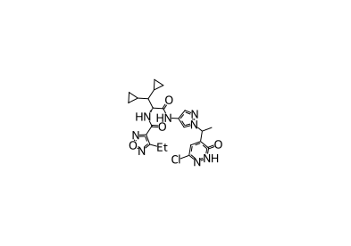 CCc1nonc1C(=O)N[C@H](C(=O)Nc1cnn(C(C)c2cc(Cl)n[nH]c2=O)c1)C(C1CC1)C1CC1